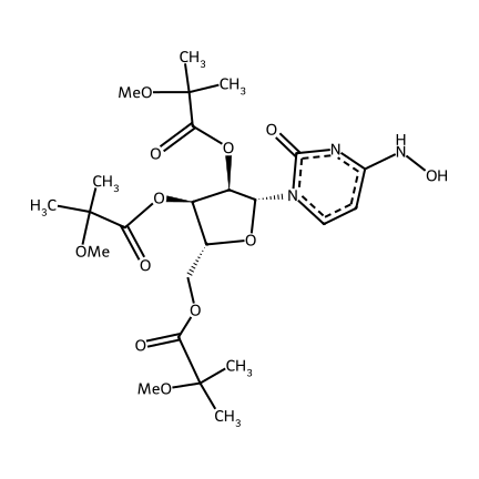 COC(C)(C)C(=O)OC[C@H]1O[C@@H](n2ccc(NO)nc2=O)[C@H](OC(=O)C(C)(C)OC)[C@@H]1OC(=O)C(C)(C)OC